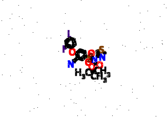 CC(C)(C)OC(=O)N(c1cscn1)S(=O)(=O)c1ccc(Oc2ccc(I)cc2I)c(C#N)c1